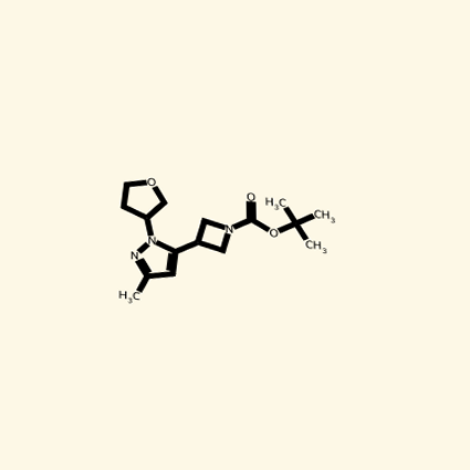 Cc1cc(C2CN(C(=O)OC(C)(C)C)C2)n(C2CCOC2)n1